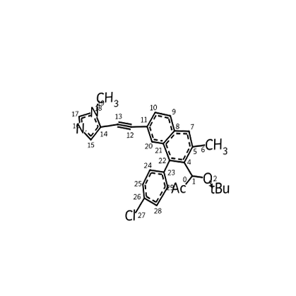 CC(=O)C(OC(C)(C)C)c1c(C)cc2ccc(C#Cc3cncn3C)cc2c1-c1ccc(Cl)cc1